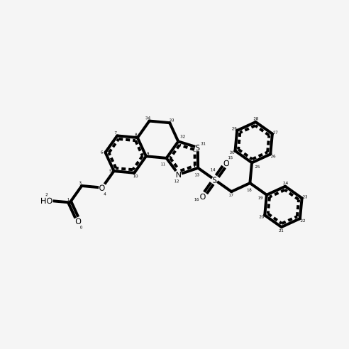 O=C(O)COc1ccc2c(c1)-c1nc(S(=O)(=O)CC(c3ccccc3)c3ccccc3)sc1CC2